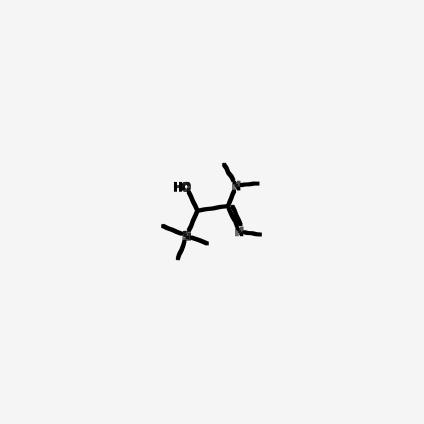 CN=C(C(O)[Si](C)(C)C)N(C)C